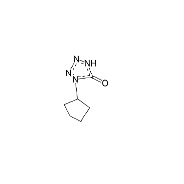 O=c1[nH]nnn1C1CCCC1